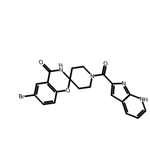 O=C1NC2(CCN(C(=O)c3cc4ccc[nH]c-4n3)CC2)Oc2ccc(Br)cc21